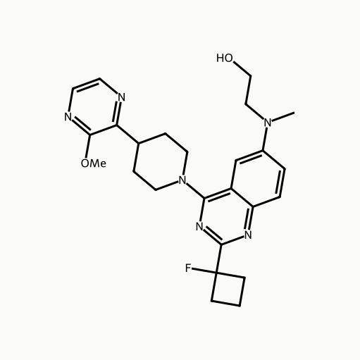 COc1nccnc1C1CCN(c2nc(C3(F)CCC3)nc3ccc(N(C)CCO)cc23)CC1